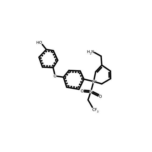 NCC1=C[N+](c2ccc(Oc3ccc(O)cc3)cc2)(S(=O)(=O)CC(F)(F)F)CC=C1